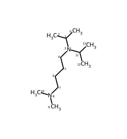 CC(C)N(C[CH]CCN(C)C)C(C)C